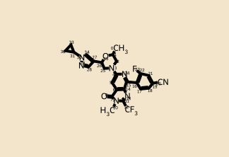 CC1CN(c2cc3c(=O)n(C)c(C(F)(F)F)nc3c(-c3ccc(C#N)cc3F)n2)CC(c2cnn(C3CC3)c2)O1